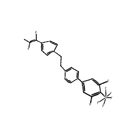 C/C(F)=C(\F)c1ccc(CCc2ccc(-c3cc(F)c(S(F)(F)(F)(F)F)c(F)c3)cc2)cc1